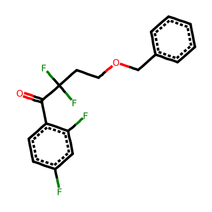 O=C(c1ccc(F)cc1F)C(F)(F)CCOCc1ccccc1